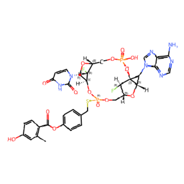 Cc1cc(O)ccc1C(=O)Oc1ccc(CS[P@]2(=O)OC[C@H]3O[C@H]4C(n5cnc6c(N)ncnc65)[C@@]4(OP(=O)(O)OC[C@H]4O[C@@H](n5ccc(=O)[nH]c5=O)[C@H](O2)[C@@H]4F)[C@@H]3F)cc1